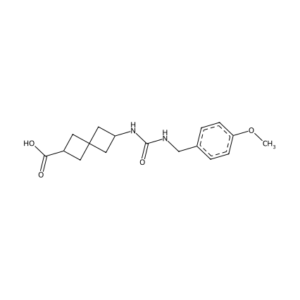 COc1ccc(CNC(=O)NC2CC3(C2)CC(C(=O)O)C3)cc1